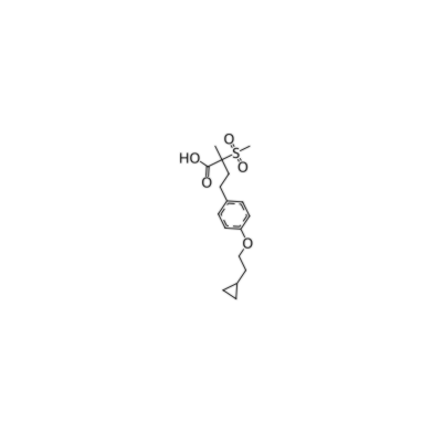 CC(CCc1ccc(OCCC2CC2)cc1)(C(=O)O)S(C)(=O)=O